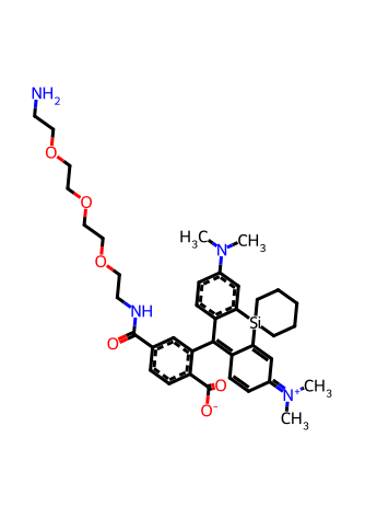 CN(C)c1ccc2c(c1)[Si]1(CCCCC1)C1=CC(=[N+](C)C)C=CC1=C2c1cc(C(=O)NCCOCCOCCOCCN)ccc1C(=O)[O-]